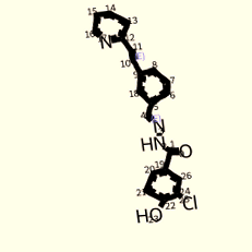 O=C(N/N=C/c1cccc(/C=C/c2ccccn2)c1)c1ccc(O)c(Cl)c1